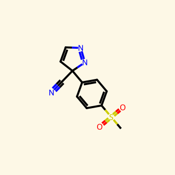 CS(=O)(=O)c1ccc(C2(C#N)C=CN=N2)cc1